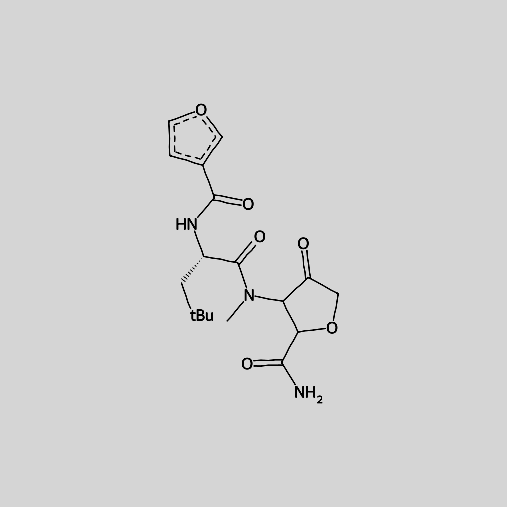 CN(C(=O)[C@H](CC(C)(C)C)NC(=O)c1ccoc1)C1C(=O)COC1C(N)=O